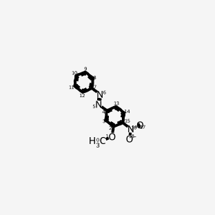 COc1cc(N=Nc2ccccc2)ccc1[N+](=O)[O-]